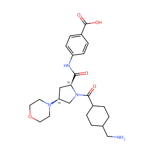 NCC1CCC(C(=O)N2C[C@@H](N3CCOCC3)C[C@H]2C(=O)Nc2ccc(C(=O)O)cc2)CC1